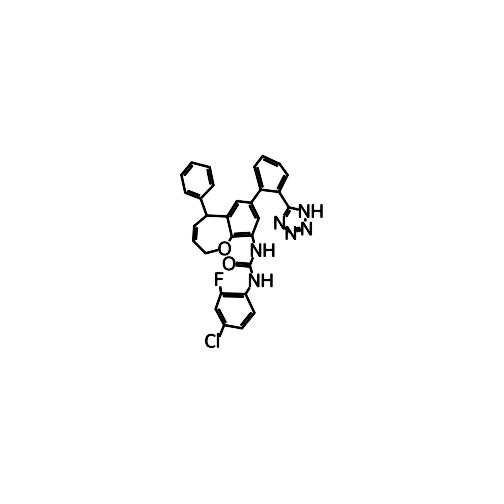 O=C(Nc1ccc(Cl)cc1F)Nc1cc(-c2ccccc2-c2nnn[nH]2)cc2c1OCC=CC2c1ccccc1